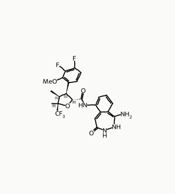 COc1c([C@H]2[C@H](C(=O)Nc3cccc4c3=CC(=O)NNC=4N)O[C@@](C)(C(F)(F)F)[C@H]2C)ccc(F)c1F